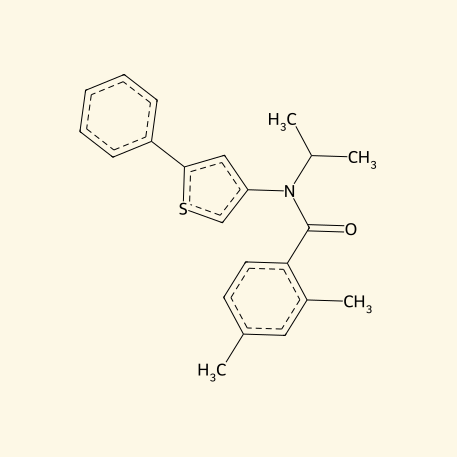 Cc1ccc(C(=O)N(c2csc(-c3ccccc3)c2)C(C)C)c(C)c1